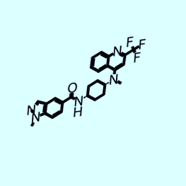 Cn1ncc2cc(C(=O)N[C@H]3CC[C@@H](N(C)c4cc(C(F)(F)F)nc5ccccc45)CC3)ccc21